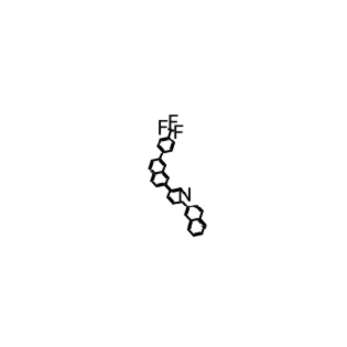 FC(F)(F)c1ccc(-c2ccc3ccc(-c4ccc(-c5ccc6ccccc6c5)nc4)cc3c2)cc1